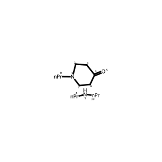 CCCN1CCC(=O)CC1.CCCNCCC